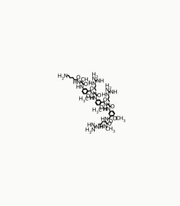 CNC(=O)[C@@H](CCCNC(=N)N)NC(=O)c1cc(NC(=O)[C@@H](CCCNC(=N)N)NC(=O)c2cc(NC(=O)[C@@H](CCCNC(=N)N)NC(=O)c3cc(NC(=O)[C@@H](C)NC(=O)CCCCN)ccc3OC)ccc2OC)ccc1OC